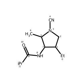 CCC1CN(C#N)C(C)C1NC(=O)C(C)C